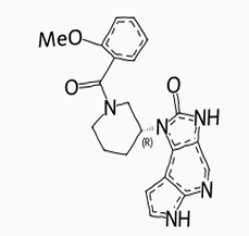 COc1ccccc1C(=O)N1CCC[C@@H](n2c(=O)[nH]c3cnc4[nH]ccc4c32)C1